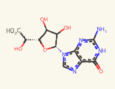 Nc1nc2c(ncn2[C@@H]2O[C@H](C(O)C(=O)O)C(O)C2O)c(=O)[nH]1